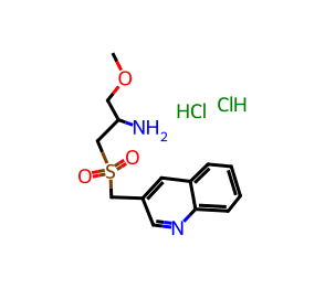 COCC(N)CS(=O)(=O)Cc1cnc2ccccc2c1.Cl.Cl